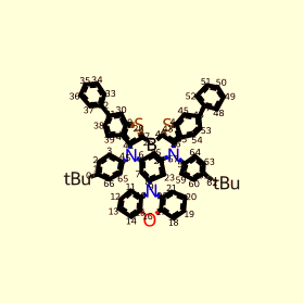 CC(C)(C)c1ccc(N2c3cc(N4c5ccccc5Oc5ccccc54)cc4c3B(c3sc5cc(-c6ccccc6)ccc5c32)c2sc3cc(-c5ccccc5)ccc3c2N4c2ccc(C(C)(C)C)cc2)cc1